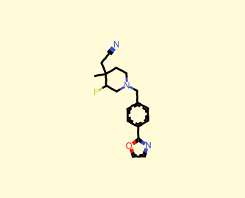 CC1(CC#N)CCN(Cc2ccc(-c3ncco3)cc2)CC1F